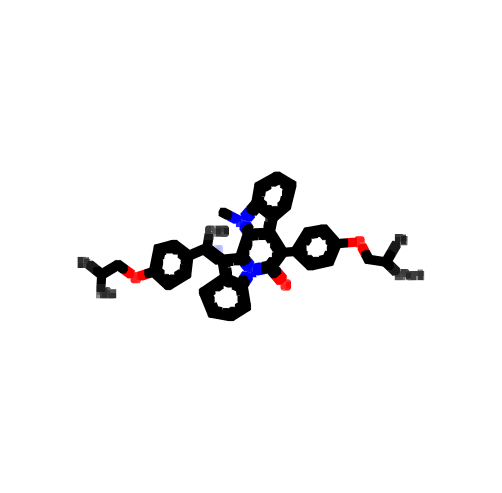 CCCCCC(CC)COc1ccc(-c2c(=O)n3c4ccccc4/c(=C(/C=O)c4ccc(OCC(CC)CCCC)cc4)c3c3c2c2ccccc2n3C)cc1